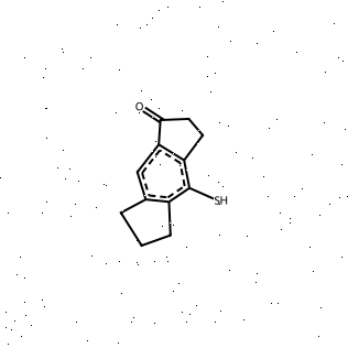 O=C1CCc2c1cc1c(c2S)CCC1